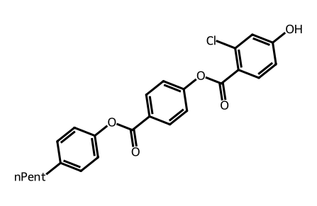 CCCCCc1ccc(OC(=O)c2ccc(OC(=O)c3ccc(O)cc3Cl)cc2)cc1